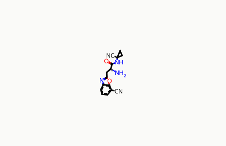 N#Cc1cccc2nc(C[C@H](N)C(=O)NC3(C#N)CC3)oc12